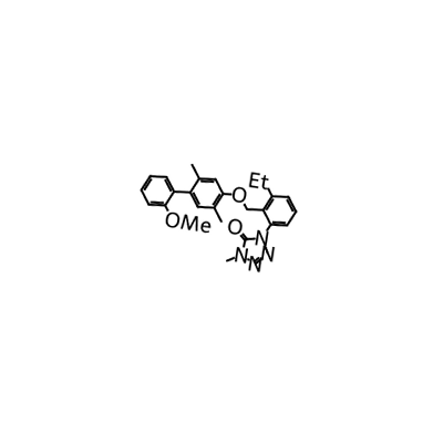 CCc1cccc(-n2nnn(C)c2=O)c1COc1cc(C)c(-c2ccccc2OC)cc1C